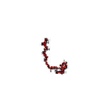 CC(COC(=O)Nc1cccc(Cc2cccc(NC(=O)OCCCCOC(=O)Nc3cccc(Cc4cccc(NC(=O)OCCOCCOC(=O)CCCCC(=O)OC(=O)Nc5cccc(Cc6cccc(NC(=O)OCCCOC(=O)Nc7cccc(Cc8cccc(NC(=O)OCC(O)CNCS(=O)O)c8)c7)c6)c5)c4)c3)c2)c1)(OC(=O)Nc1cccc(Cc2cccc(NC(=O)OCC(O)CNOS(=O)O)c2)c1)C(=O)O